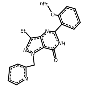 CCCOc1ccccc1-c1nc2c(CC)nn(Cc3ccccn3)c2c(=O)[nH]1